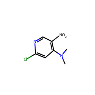 CN(C)c1cc(Cl)ncc1[N+](=O)[O-]